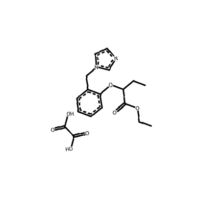 CCOC(=O)C(CC)Oc1ccccc1Cn1ccnc1.O=C(O)C(=O)O